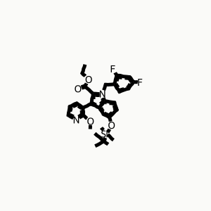 CCOC(=O)c1c(-c2cccnc2OC)c2cc(O[Si](C)(C)C(C)(C)C)ccc2n1Cc1ccc(F)cc1F